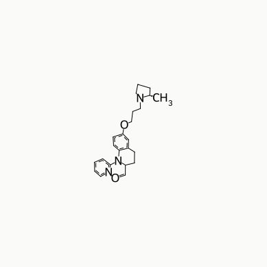 C[C@@H]1CCCN1CCCOc1ccc2c(c1)CCC(C=O)N2c1ccccn1